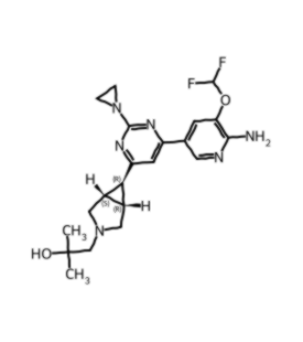 CC(C)(O)CN1C[C@@H]2[C@H](C1)[C@H]2c1cc(-c2cnc(N)c(OC(F)F)c2)nc(N2CC2)n1